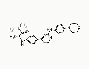 C[C@H](Nc1ccc(-c2ccnc(Nc3ccc(N4CCOCC4)cc3)n2)cc1)C(=O)N(C)C